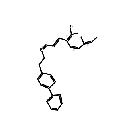 C/C=C(C)/C=C\C(\C=C\C=P/CCc1ccc(-c2ccccc2)cc1)=C(/C)C(C)C